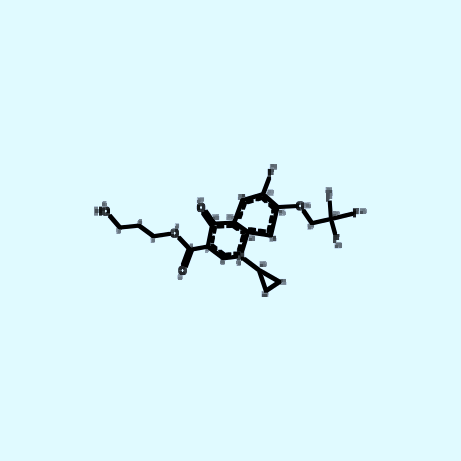 O=C(OCCCO)c1cn(C2CC2)c2cc(OCC(F)(F)F)c(F)cc2c1=O